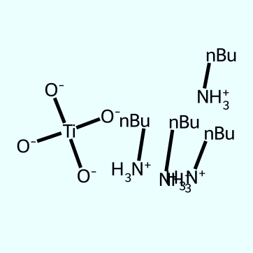 CCCC[NH3+].CCCC[NH3+].CCCC[NH3+].CCCC[NH3+].[O-][Ti]([O-])([O-])[O-]